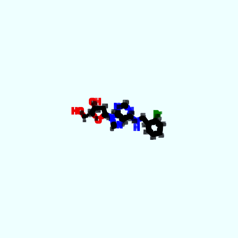 OC[C@H]1OC(n2cnc3c(NCc4ccccc4Br)ncnc32)C[C@@H]1O